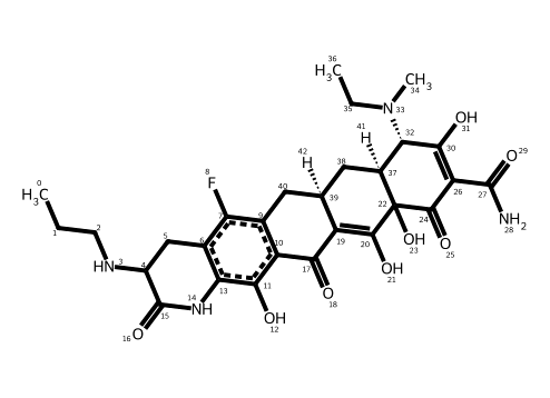 CCCNC1Cc2c(F)c3c(c(O)c2NC1=O)C(=O)C1=C(O)C2(O)C(=O)C(C(N)=O)=C(O)[C@@H](N(C)CC)[C@@H]2C[C@@H]1C3